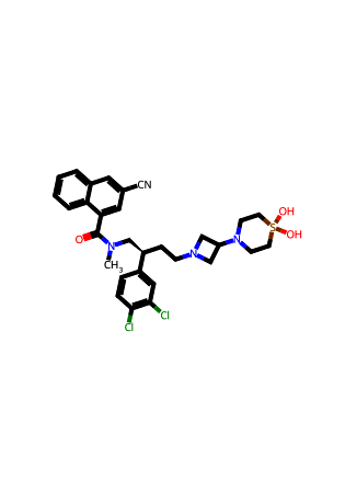 CN(C[C@@H](CCN1CC(N2CCS(O)(O)CC2)C1)c1ccc(Cl)c(Cl)c1)C(=O)c1cc(C#N)cc2ccccc12